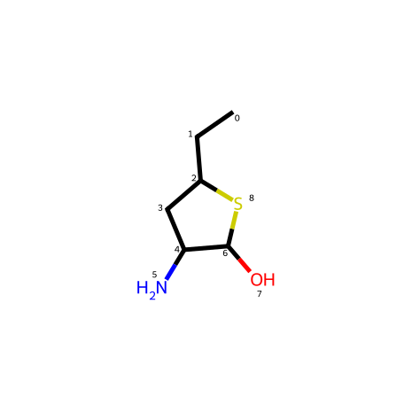 CCC1CC(N)C(O)S1